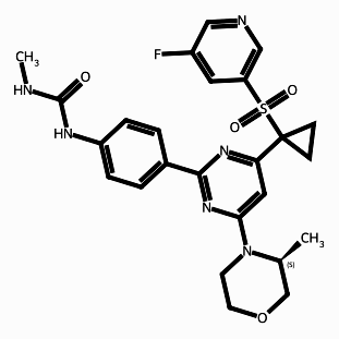 CNC(=O)Nc1ccc(-c2nc(N3CCOC[C@@H]3C)cc(C3(S(=O)(=O)c4cncc(F)c4)CC3)n2)cc1